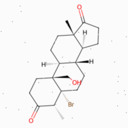 C[C@@H]1C(=O)CC[C@]2(CO)[C@H]3CC[C@]4(C)C(=O)CC[C@H]4[C@@H]3CC[C@@]12Br